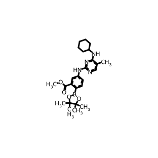 COC(=O)c1cc(Nc2ncc(C)c(NC3CCCCC3)n2)ccc1B1OC(C)(C)C(C)(C)O1